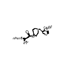 CCCCCC(C(=O)NC1CCN(Cc2cnccc2OC)CC1)C(C)C